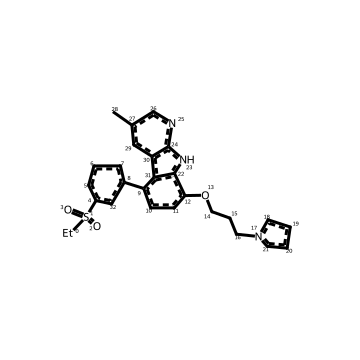 CCS(=O)(=O)c1cccc(-c2ccc(OCCCn3cccc3)c3[nH]c4ncc(C)cc4c23)c1